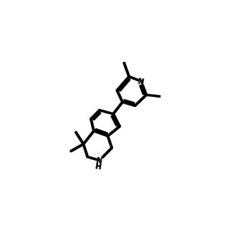 Cc1cc(-c2ccc3c(c2)CNCC3(C)C)cc(C)n1